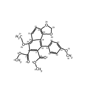 COC(=O)c1c(C(=O)OC)c(-c2ccc(OC)cc2)c2c3c(ccc2c1OC)OCO3